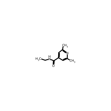 CCNC(=O)c1cc(C)nc(C)c1